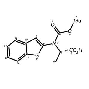 C[C@@H](C(=O)O)N(C(=O)OC(C)(C)C)c1cc2ccccc2s1